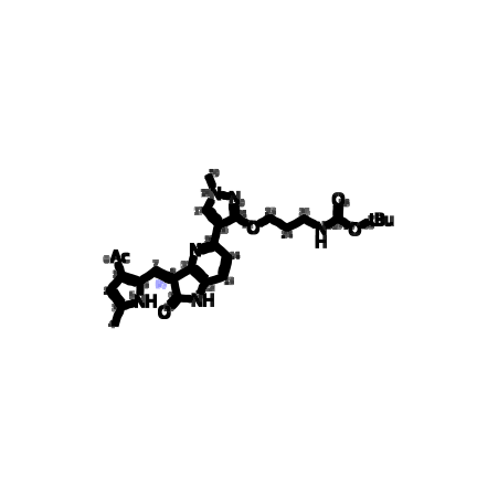 CC(=O)c1cc(C)[nH]c1/C=C1\C(=O)Nc2ccc(-c3cn(C)nc3OCCCNC(=O)OC(C)(C)C)nc21